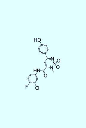 CN1C(C(=O)Nc2ccc(F)c(Cl)c2)=CC(c2ccc(O)cc2)=NS1(=O)=O